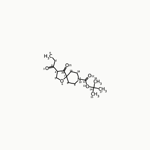 CCC(=O)C1COC2(CCN(C(=O)OC(C)(C)C)CC2)C1=O